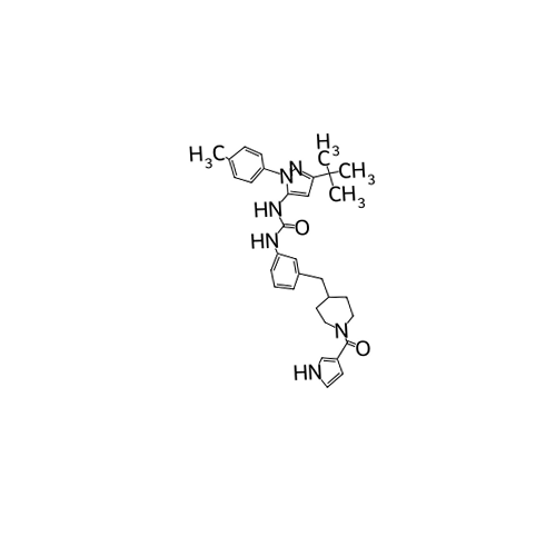 Cc1ccc(-n2nc(C(C)(C)C)cc2NC(=O)Nc2cccc(CC3CCN(C(=O)c4cc[nH]c4)CC3)c2)cc1